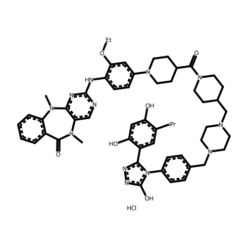 CCOc1cc(N2CCC(C(=O)N3CCC(CN4CCN(Cc5ccc(-n6c(O)nnc6-c6cc(C(C)C)c(O)cc6O)cc5)CC4)CC3)CC2)ccc1Nc1ncc2c(n1)N(C)c1ccccc1C(=O)N2C.Cl